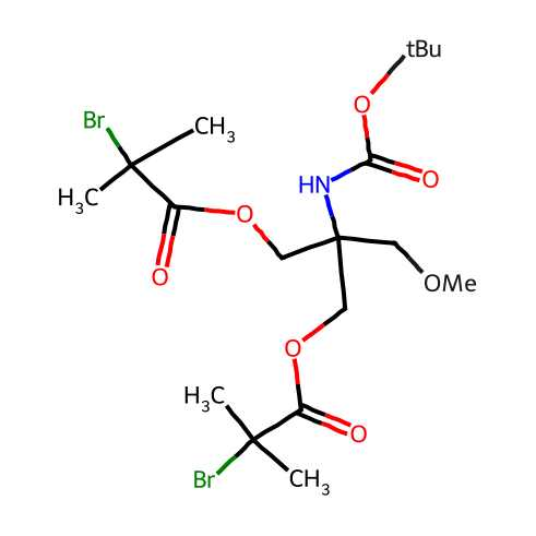 COCC(COC(=O)C(C)(C)Br)(COC(=O)C(C)(C)Br)NC(=O)OC(C)(C)C